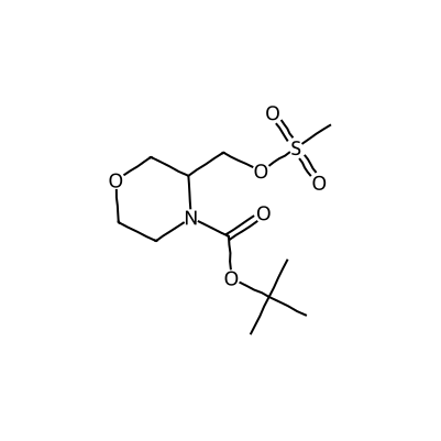 CC(C)(C)OC(=O)N1CCOCC1COS(C)(=O)=O